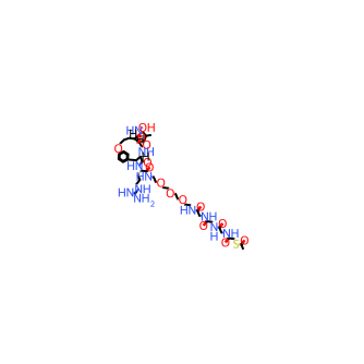 CC(=O)SCC(=O)NCC(=O)NCC(=O)NCC(=O)NCCOCCOCCOCCNC(=O)[C@H](CCCNC(=N)N)NC(=O)[C@@H]1Cc2ccc(cc2)OCCC[C@H](C(=O)NO)[C@@H](CC(C)C)C(=O)N1